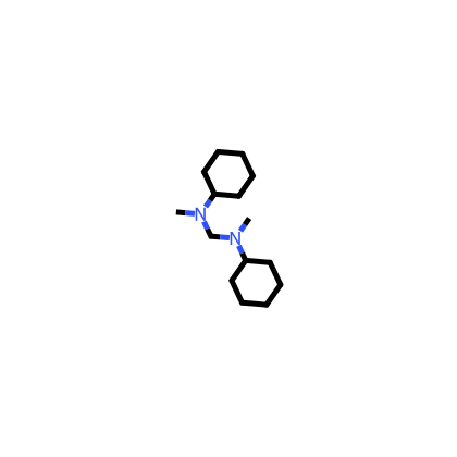 CN(CN(C)C1CCCCC1)C1CCCCC1